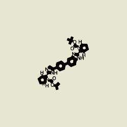 C=C(C)OC(=O)N1[C@@H]2CC[C@@H](C2)[C@H]1c1ncc(-c2ccc(-c3ccc4[nH]c([C@@H]5[C@H]6CC[C@H](C6)N5C(=O)OC(C)(C)C)nc4c3)cc2)[nH]1